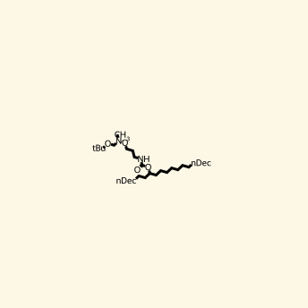 CCCCCCCCCCCCCCCCCC(CCCCCCCCCCCC)OC(=O)NCCCON(C)COC(C)(C)C